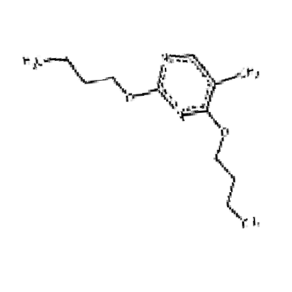 CCCCOc1ncc(C)c(OCCCC)n1